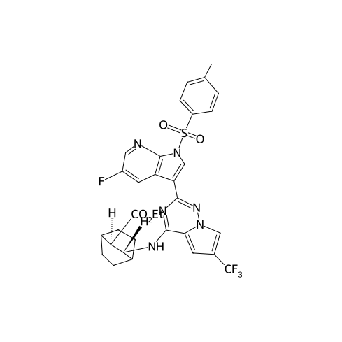 CCOC(=O)[C@@H]1C2CCC(CC2)[C@H]1Nc1nc(-c2cn(S(=O)(=O)c3ccc(C)cc3)c3ncc(F)cc23)nn2cc(C(F)(F)F)cc12